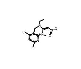 CCN(Cc1cnc(Cl)cc1Cl)C(=C[N+](=O)[O-])NC